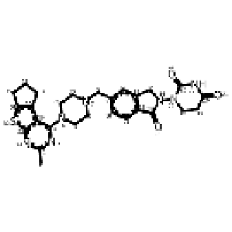 Cc1nc(N2CCN(Cc3ccc4c(c3)CN(N3CCC(=O)NC3=O)C4=O)CC2)c2c3c(sc2n1)CCC3